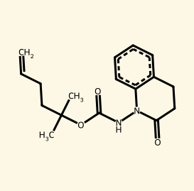 C=CCCC(C)(C)OC(=O)NN1C(=O)CCc2ccccc21